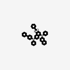 c1ccc(-c2ccc(N(c3ccccc3)c3ccc4c(N(c5ccccc5)c5ccc6ccccc6c5)cc5oc(-c6ccccc6)nc5c4c3)cc2)cc1